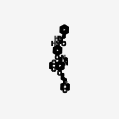 O=C(NCc1ccccc1)Nc1ccc(Oc2ncnc3cc(OCCCN4CCOCC4)c4c(c23)OCCO4)cc1